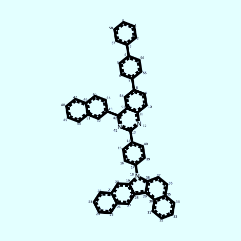 c1ccc(-c2ccc(-c3ccc4nc(-c5ccc(-n6c7cc8ccccc8cc7c7c8ccccc8ccc76)cc5)nc(-c5ccc6ccccc6c5)c4c3)cc2)cc1